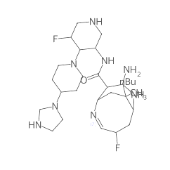 CCCCC1(C)CC2/N=C\C(F)CC1NC(N)C2C(=O)NC1CNCC(F)C1N1CCC(N2CCNC2)CC1